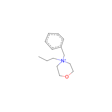 CCC[N+]1(Cc2ccccc2)CCOCC1